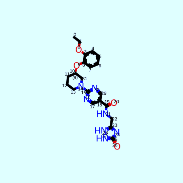 CCOc1ccccc1O[C@@H]1CCCN(c2ncc(C(=O)NCc3nc(=O)[nH][nH]3)cn2)C1